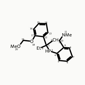 CCC(C)(Pc1ccccc1CNC)c1ccccc1OCOC